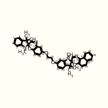 CN1c2ccccc2C(C)(C)C12C=Nc1cc(OCCOc3ccc4c(c3)N(C)C3(C=Nc5c(ccc6ccccc56)O3)C4(C)C)ccc1O2